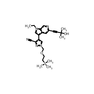 CCn1cc(-c2cn(COCCS(C)(C)C)nc2C#N)c2cc(C#CC(C)(C)O)ncc21